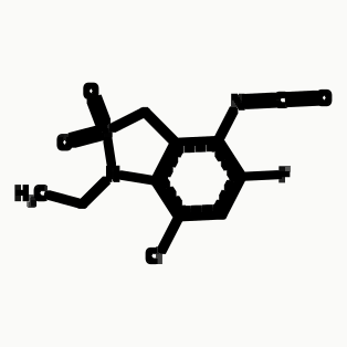 CCN1c2c(Cl)cc(F)c(N=C=O)c2CS1(=O)=O